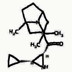 CC(C)N1C2CCC1(C)CN(C(=O)[C@@H]1N[C@@H]1C1CC1)C2